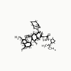 CN(C)[C@@H]1CCC[C@H]1NC(=O)c1nc(N2CC3CCC(C2)N3)c2cc(Cl)c(-c3ccc(F)c4sc(N)c(C#N)c34)c(F)c2n1